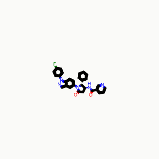 O=C(N[C@H]1CC(=O)N(c2ccc3c(cnn3-c3ccc(F)cc3)c2)[C@@H]1c1ccccc1)c1cccnc1